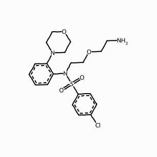 NCCOCCN(c1ccccc1N1CCOCC1)S(=O)(=O)c1ccc(Cl)cc1